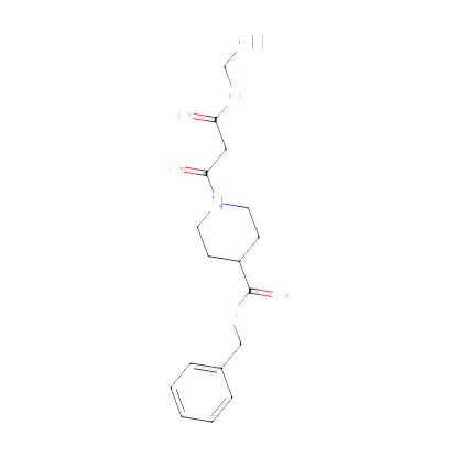 CCOC(=O)CC(=O)N1CCC(C(=O)OCc2ccccc2)CC1